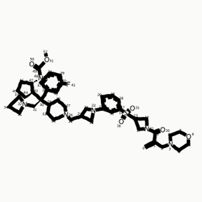 C=C(CN1CCOCC1)C(=O)N1CC(S(=O)(=O)c2cccc(N3CC(CN4CCC([C@@](CN5CCC5)(c5cccc(F)c5)[C@H]5CCC[C@@H]5NC(=O)OC)CC4)C3)c2)C1